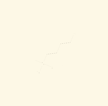 CC[N+](CC)(CC)CCCCBr.[Br-]